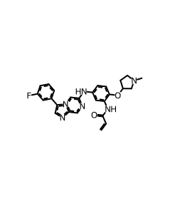 C=CC(=O)Nc1cc(Nc2cn3c(-c4cccc(F)c4)cnc3cn2)ccc1OC1CCN(C)C1